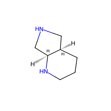 C1CN[C@H]2CNC[C@H]2C1